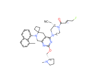 Cc1cccc2cccc(N3Cc4nc(OC[C@@H]5CCCN5C)nc(N5CCN(C(=O)/C=C/CF)[C@@H](CC#N)C5)c4CC34CCC4)c12